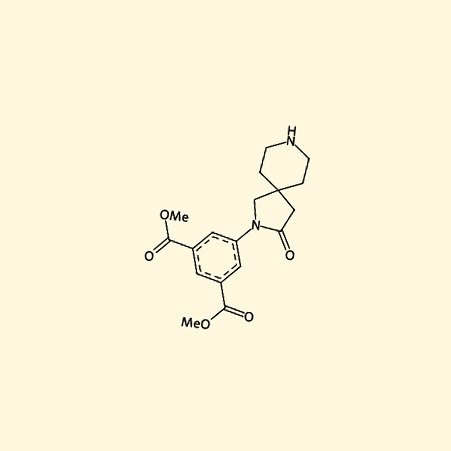 COC(=O)c1cc(C(=O)OC)cc(N2CC3(CCNCC3)CC2=O)c1